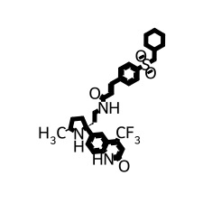 C[C@@H]1CC[C@@](CCNC(=O)/C=C/c2ccc(S(=O)(=O)CC3CCCCC3)cc2)(c2ccc3[nH]c(=O)cc(C(F)(F)F)c3c2)N1